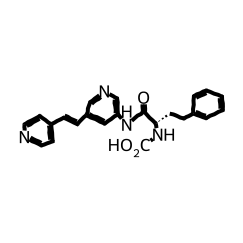 O=C(O)N[C@@H](CCc1ccccc1)C(=O)Nc1cncc(/C=C/c2ccncc2)c1